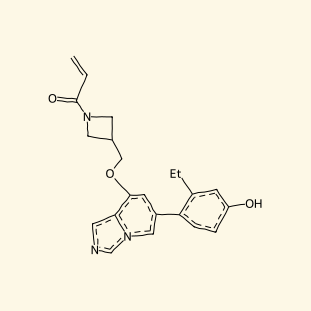 C=CC(=O)N1CC(COc2cc(-c3ccc(O)cc3CC)cn3cncc23)C1